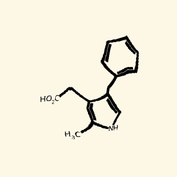 Cc1[nH]cc(-c2ccccc2)c1CC(=O)O